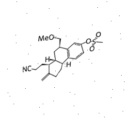 C=C1CC[C@@H]2c3ccc(OS(C)(=O)=O)cc3[C@H](COC)C[C@H]2[C@@H]1CCC#N